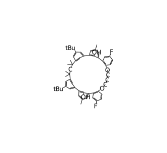 Cc1cc2c(O)c(c1)-c1cc(F)ccc1OCCCOc1ccc(F)cc1-c1cc(C)cc(c1O)-c1cc(C(C)(C)C)cc(c1)C(C)(C)CC(C)(C)c1cc-2cc(C(C)(C)C)c1